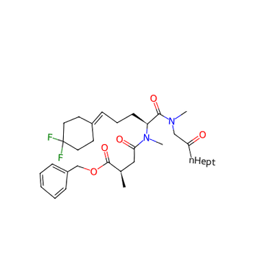 CCCCCCCC(=O)CN(C)C(=O)[C@H](CCC=C1CCC(F)(F)CC1)N(C)C(=O)C[C@@H](C)C(=O)OCc1ccccc1